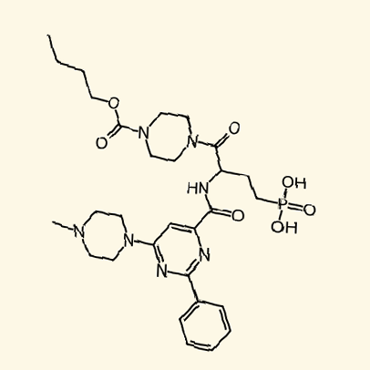 CCCCOC(=O)N1CCN(C(=O)C(CCP(=O)(O)O)NC(=O)c2cc(N3CCN(C)CC3)nc(-c3ccccc3)n2)CC1